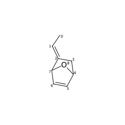 CC=C1CC2C=CC1O2